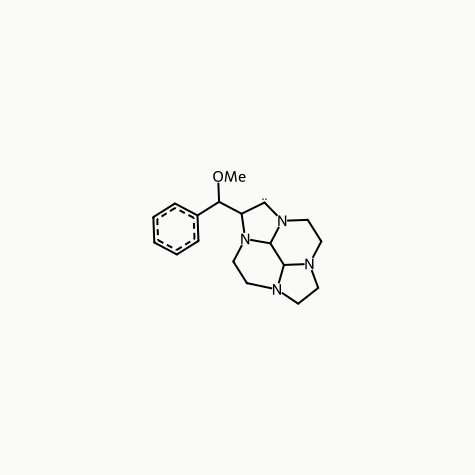 COC(c1ccccc1)C1[C]N2CCN3CCN4CCN1C2C34